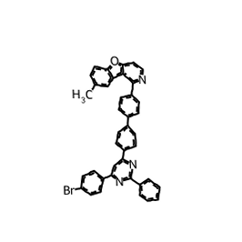 Cc1ccc2oc3ccnc(-c4ccc(-c5ccc(-c6cc(-c7ccc(Br)cc7)nc(-c7ccccc7)n6)cc5)cc4)c3c2c1